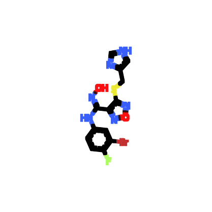 O/N=C(/Nc1ccc(F)c(Br)c1)c1nonc1SCc1c[nH]cn1